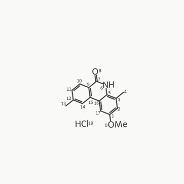 COc1cc(C)c2[nH]c(=O)c3ccc(C)cc3c2c1.Cl